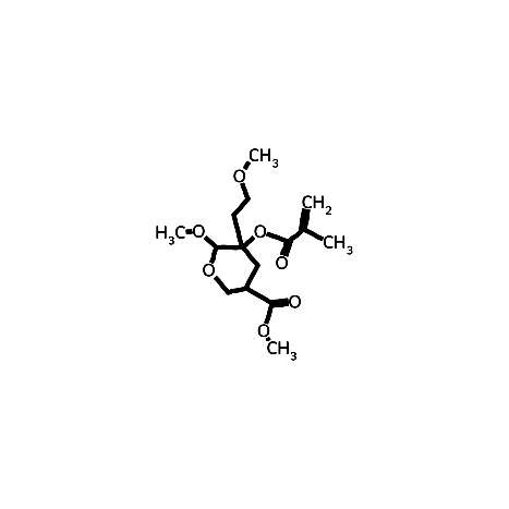 C=C(C)C(=O)OC1(CCOC)CC(C(=O)OC)COC1OC